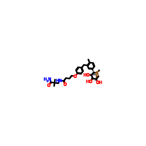 Cc1ccc([C@H]2[C@H](O)[C@H](O)[C@H](O)C[SH]2C)cc1Cc1ccc(OCCCC(=O)NCC(C)(C)C(N)=O)cc1